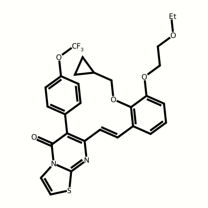 CCOCCOc1cccc(C=Cc2nc3sccn3c(=O)c2-c2ccc(OC(F)(F)F)cc2)c1OCC1CC1